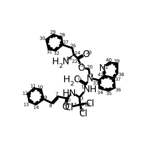 C=C(NC(NC(=O)/C=C/c1ccccc1)C(Cl)(Cl)Cl)N(COC(=O)[C@@H](N)Cc1ccccc1)c1cccc2cccnc12